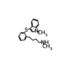 CNCCCCc1ccccc1Sc1cn(C)c2ccccc12